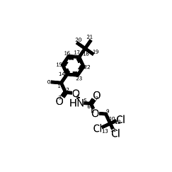 CC(C(=O)ONC(=O)OCC(Cl)(Cl)Cl)c1ccc(C(C)(C)C)cc1